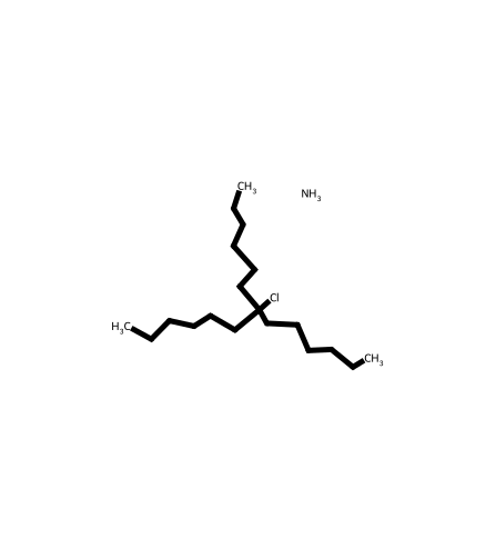 CCCCCCC(Cl)(CCCCCC)CCCCCC.N